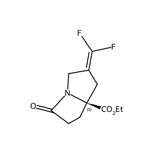 CCOC(=O)[C@@]12CCC(=O)N1CC(=C(F)F)C2